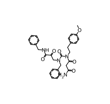 COc1ccc(CCN(C(=O)CC(N)=O)C(=O)N(CC(=O)C(=O)NCc2ccccc2)Cc2ccccc2)cc1